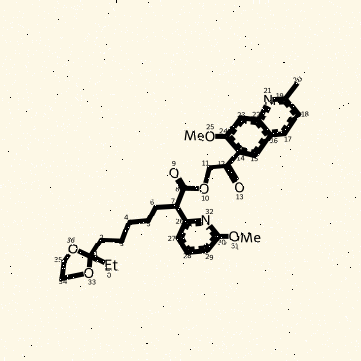 CCC1(CCCCCC(C(=O)OCC(=O)c2cc3ccc(C)nc3cc2OC)c2cccc(OC)n2)OCCO1